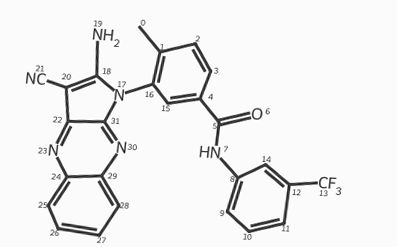 Cc1ccc(C(=O)Nc2cccc(C(F)(F)F)c2)cc1-n1c(N)c(C#N)c2nc3ccccc3nc21